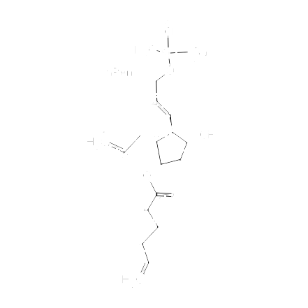 C=CCCCC(=O)O[C@H]1C[C@@H](C)[C@H](/C=C/[C@H](CCCCC)O[Si](C)(C)C(C)(C)C)[C@H]1CC=C